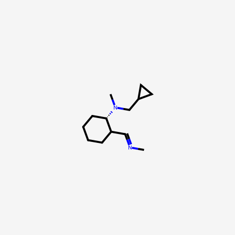 CN=CC1CCCC[C@@H]1N(C)CC1CC1